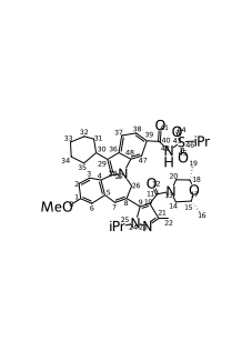 COc1ccc2c(c1)C=C(c1c(C(=O)N3C[C@@H](C)O[C@@H](C)C3)c(C)nn1C(C)C)Cn1c-2c(C2CCCCC2)c2ccc(C(=O)NS(=O)(=O)C(C)C)cc21